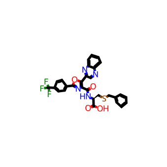 O=C(N[C@@H](CSCc1ccccc1)C(=O)O)c1nc(-c2ccc(C(F)(F)F)cc2)oc1-c1cnc2ccccc2n1